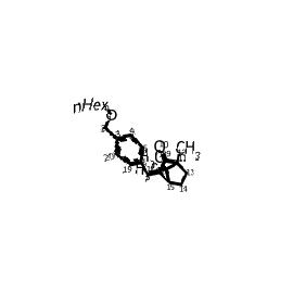 CCCCCCOCc1ccc(C=C2C(=O)C3(C)CCC2C3(C)C)cc1